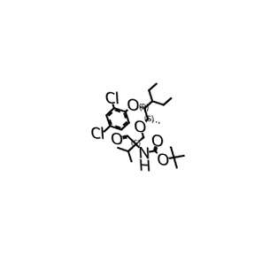 CCC(CC)[C@@H](Oc1ccc(Cl)cc1Cl)[C@H](C)OC[C@@](C=O)(NC(=O)OC(C)(C)C)C(C)C